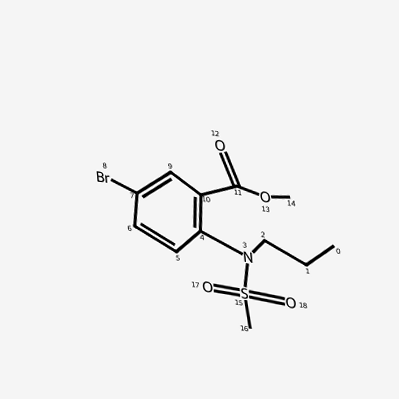 CCCN(c1ccc(Br)cc1C(=O)OC)S(C)(=O)=O